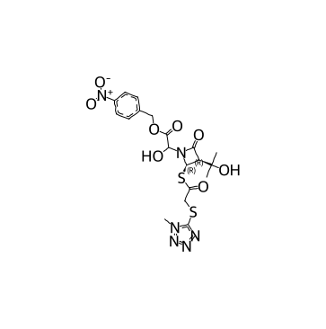 Cn1nnnc1SCC(=O)S[C@@H]1[C@H](C(C)(C)O)C(=O)N1C(O)C(=O)OCc1ccc([N+](=O)[O-])cc1